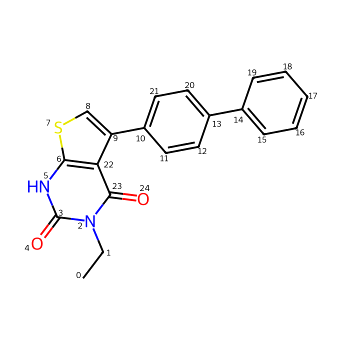 CCn1c(=O)[nH]c2scc(-c3ccc(-c4ccccc4)cc3)c2c1=O